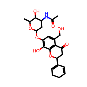 CC(=O)NC1CC(Oc2cc(CO)c3c(c2O)OC(C2=CCCC=C2)CC3=O)OC(C)C1O